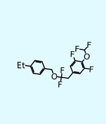 CCc1ccc(COC(F)(F)Cc2cc(F)c(OC(F)F)c(F)c2)cc1